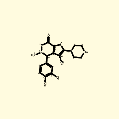 CN1OC(=O)c2sc(N3CCOCC3)c(C#N)c2C1c1ccc(Cl)c(Cl)c1